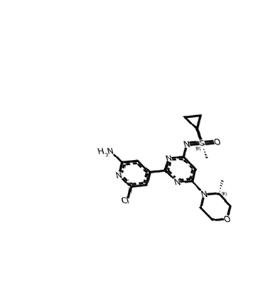 C[C@@H]1COCCN1c1cc(N=[S@](C)(=O)C2CC2)nc(-c2cc(N)nc(Cl)c2)n1